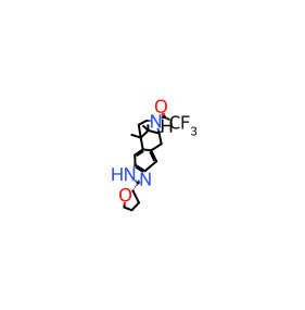 CC12CCN(C(=O)C(F)(F)F)[C@@H](Cc3cc4nc([C@@H]5CCCO5)[nH]c4cc31)C2(C)C